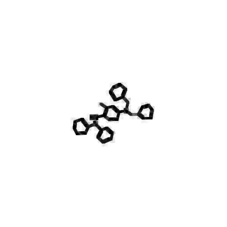 Cc1cc(N(Cc2ccccc2)Cc2ccccc2)ccc1NN(c1ccccc1)c1ccccc1